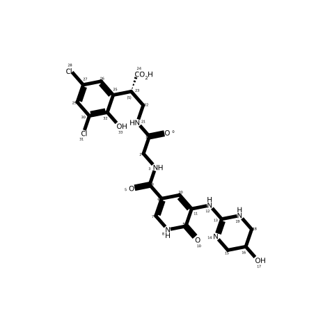 O=C(CNC(=O)c1c[nH]c(=O)c(NC2=NCC(O)CN2)c1)NC[C@@H](C(=O)O)c1cc(Cl)cc(Cl)c1O